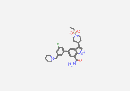 CCS(=O)(=O)N1CCC(c2c[nH]c3c(C(N)=O)cc(-c4cc(F)cc(CN5CCCCC5)c4)cc23)CC1